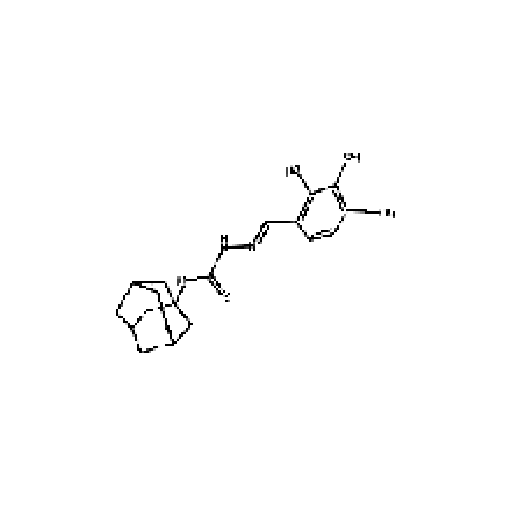 Oc1ccc(/C=N/NC(=S)NC23CC4CC(CC(C4)C2)C3)c(O)c1O